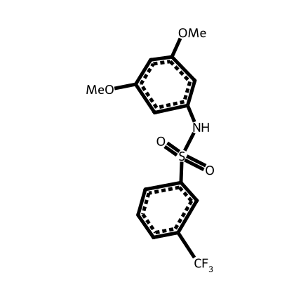 COc1cc(NS(=O)(=O)c2cccc(C(F)(F)F)c2)cc(OC)c1